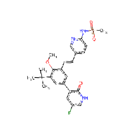 COc1c(C=Cc2ccc(NS(C)(=O)=O)nc2)cc(-c2cc(F)c[nH]c2=O)cc1C(C)(C)C